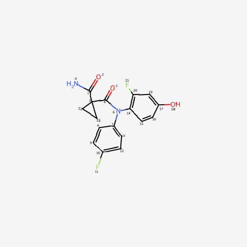 NC(=O)C1(C(=O)N(c2ccc(F)cc2)c2ccc(O)cc2F)CC1